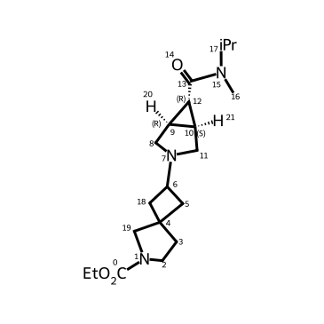 CCOC(=O)N1CCC2(CC(N3C[C@@H]4[C@H](C3)[C@H]4C(=O)N(C)C(C)C)C2)C1